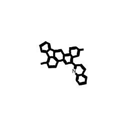 Cc1ccc2c(c1)c(-c1ccc3ccccc3n1)cc1c3ccc(C)c4c3c(cc21)-c1ccccc1-4